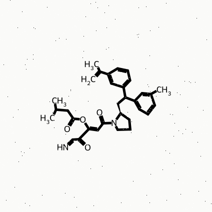 C=C(C)c1cccc(C(C[C@H]2CCCN2C(=O)/C=C(\OC(=O)CC(C)C)C(=O)C=N)c2cccc(C)c2)c1